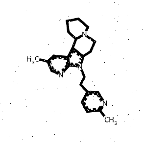 Cc1cnc2c(c1)c1c(n2CCc2ccc(C)nc2)CCN2CCCCC12